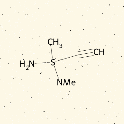 C#CS(C)(N)NC